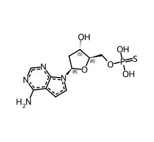 Nc1ncnc2c1ccn2[C@H]1C[C@H](O)[C@@H](COP(O)(O)=S)O1